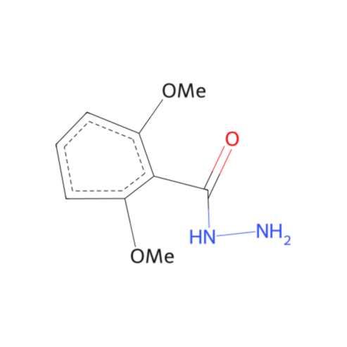 COc1cccc(OC)c1C(=O)NN